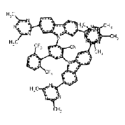 Cc1nc(C)nc(-c2ccc3c4ccc(-c5nc(C)nc(C)n5)cc4n(-c4cc(-c5c(C(F)(F)F)cccc5C(F)(F)F)cc(-n5c6cc(-c7nc(C)nc(C)n7)ccc6c6ccc(-c7nc(C)nc(C)n7)cc65)c4C#N)c3c2)n1